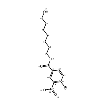 O=C(OCCCCCCCO)c1ccc(Br)c([N+](=O)[O-])c1